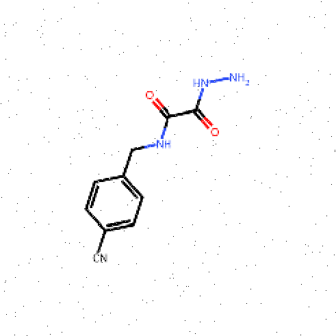 N#Cc1ccc(CNC(=O)C(=O)NN)cc1